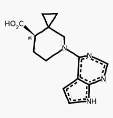 O=C(O)[C@@H]1CCN(c2ncnc3[nH]ccc23)CC12CC2